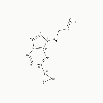 C=CCOn1ccc2ccc(C3CC3)cc21